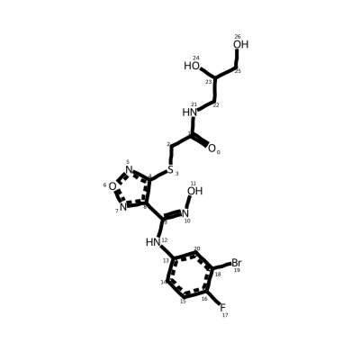 O=C(CSc1nonc1C(=NO)Nc1ccc(F)c(Br)c1)NCC(O)CO